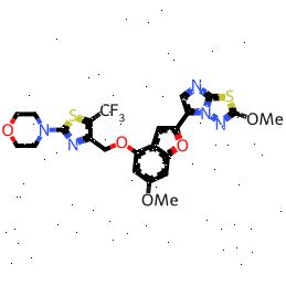 COc1cc(OCc2nc(N3CCOCC3)sc2C(F)(F)F)c2cc(-c3cnc4sc(OC)nn34)oc2c1